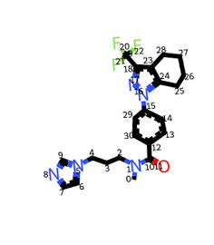 CN(CCCn1ccnc1)C(=O)c1ccc(-n2nc(C(F)(F)F)c3c2CCCC3)cc1